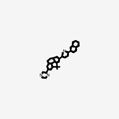 CC1(C)c2cc(-c3ccc(-c4ccc5ccccc5c4)nc3)cc3ccc4cc(-c5cnccn5)cc1c4c23